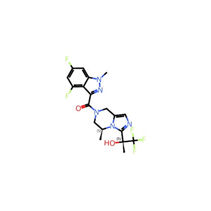 C[C@H]1CN(C(=O)c2nn(C)c3cc(F)cc(F)c23)Cc2cnc([C@@](C)(O)C(F)(F)F)n21